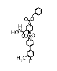 Cc1cc(C2=CCN(S(=O)(=O)N3CCN(C(=O)OCc4ccccc4)CC3C(=O)NO)CC2)ccc1F